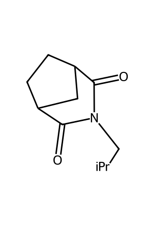 CC(C)CN1C(=O)C2CCC(C2)C1=O